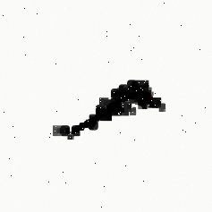 CC(C)(COP(=O)(O)OP(=O)(O)OCC1OC(n2cnc3c(N)ncnc32)C(O)C1OP(=O)(O)O)C(O)C(=O)NCCC(=O)NCCSC(=O)CCCCCC(=O)O